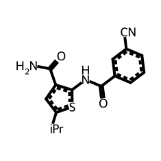 CC(C)c1cc(C(N)=O)c(NC(=O)c2cccc(C#N)c2)s1